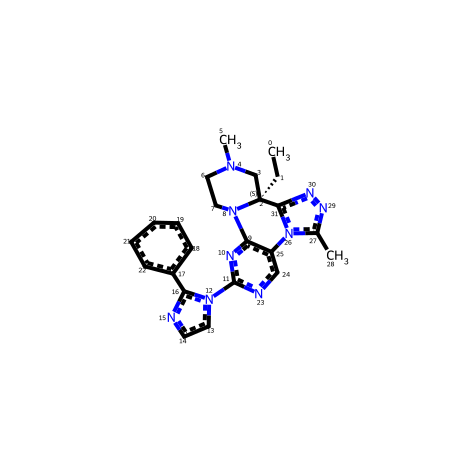 CC[C@@]12CN(C)CCN1c1nc(-n3ccnc3-c3ccccc3)ncc1-n1c(C)nnc12